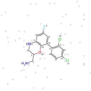 NCC1CNc2cc(F)cc(-c3ccc(Cl)cc3Cl)c2O1